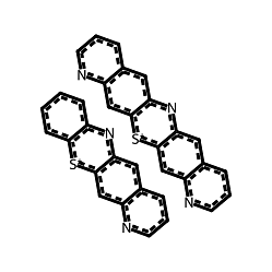 c1cnc2cc3[s+]c4cc5ncccc5cc4nc3cc2c1.c1cnc2cc3[s+]c4ccccc4nc3cc2c1